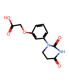 O=C(O)COc1cccc(N2CCC(=O)NC2=O)c1